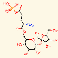 N[C@@H](CCC(=O)OP(=O)(O)O)C(=O)OC[C@H]1O[C@H](O[C@]2(CO)O[C@H](CO)[C@@H](O)[C@@H]2O)[C@H](O)[C@@H](O)[C@@H]1O